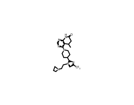 CC1CC(=O)Nc2ncnc(N3CCC(c4nc(C(F)(F)F)cn4CCN4CCC4)CC3)c21